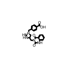 O=C(O)c1ccc(CN2CC(Cn3c(=O)[nH]c4ccccc4c3=O)NN2)cc1